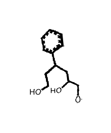 [O]CC(O)CC(CCO)c1ccccc1